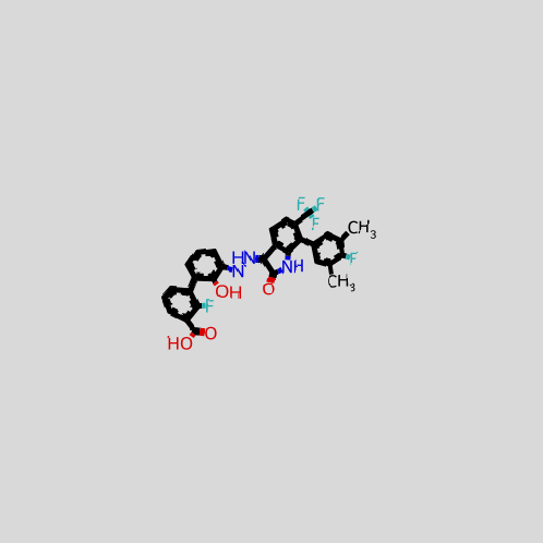 Cc1cc(-c2c(C(F)(F)F)ccc3c2NC(=O)C3=NNc2cccc(-c3cccc(C(=O)O)c3F)c2O)cc(C)c1F